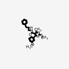 COc1cccc(-c2nc(SC)nc(C)c2C(=O)NCCCc2ccccc2)c1